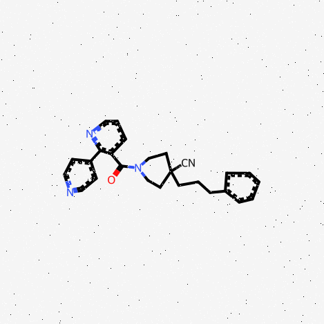 N#CC1(CCCc2ccccc2)CCN(C(=O)c2cccnc2-c2ccncc2)CC1